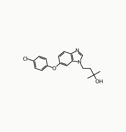 CC(C)(O)CCn1cnc2ccc(Oc3ccc(Cl)cc3)cc21